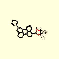 CC1(C)OB(C2=c3cccc4c3c(c3c5c(cc(C6=CCCC=C6)cc54)=CCC3)CC2)OC1(C)C